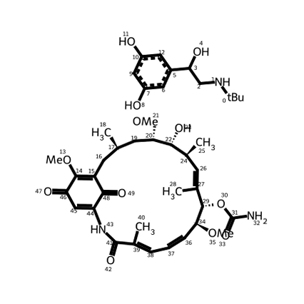 CC(C)(C)NCC(O)c1cc(O)cc(O)c1.COC1=C2C[C@@H](C)C[C@H](OC)[C@H](O)[C@@H](C)/C=C(\C)[C@H](OC(N)=O)[C@@H](OC)/C=C\C=C(/C)C(=O)NC(=CC1=O)C2=O